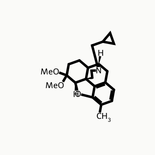 COC1(OC)CCC2[C@@H]3Cc4ccc(C)c5c4[C@]2(CCN3CC2CC2)[C@@H]1O5